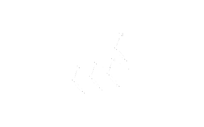 [C+4].[N-]=NN.[N-]=NN.[N-]=NN.[N-]=NN